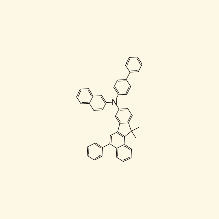 CC1(C)c2ccc(N(c3ccc(-c4ccccc4)cc3)c3ccc4ccccc4c3)cc2-c2cc(-c3ccccc3)c3ccccc3c21